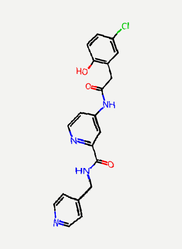 O=C(Cc1cc(Cl)ccc1O)Nc1ccnc(C(=O)NCc2ccncc2)c1